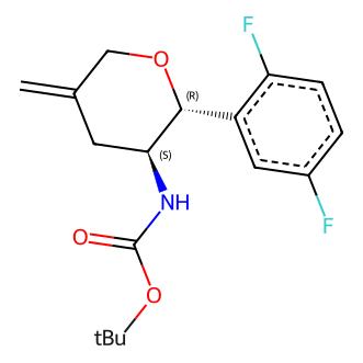 C=C1CO[C@H](c2cc(F)ccc2F)[C@@H](NC(=O)OC(C)(C)C)C1